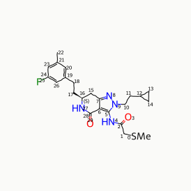 CSCC(=O)Nc1c2c(nn1CCC1CC1)C[C@H](CCc1cc(C)cc(F)c1)NC2=O